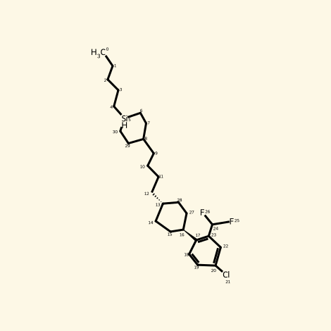 CCCCC[SiH]1CCC(CCCC[C@H]2CC[C@H](c3ccc(Cl)cc3C(F)F)CC2)CC1